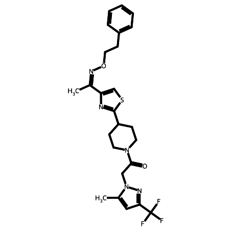 CC(=NOCCc1ccccc1)c1csc(C2CCN(C(=O)Cn3nc(C(F)(F)F)cc3C)CC2)n1